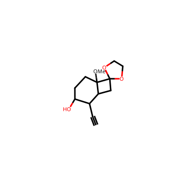 C#CC1C(O)CCC2(OC)C1CC21OCCO1